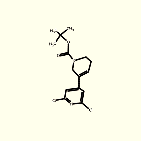 CC(C)(C)OC(=O)N1CCC=C(c2cc(Cl)nc(Cl)c2)C1